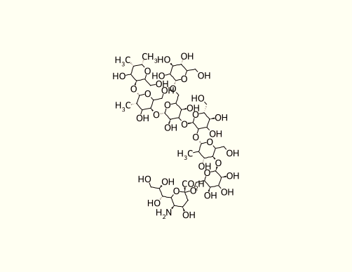 CC1[C@H](OC2C(O)[C@H](O)[C@@H](CO)O[C@@H]2OC2[C@H](O)C(CO[C@H]3OC(CO)[C@@H](O)[C@H](O)C3O)O[C@@H](O[C@@H]3C(CO)O[C@@H](O[C@@H]4C(CO)O[C@@H](C)[C@@H](C)C4O)[C@@H](C)C3O)[C@@H]2O)OC(CO)[C@@H](O[C@@H]2OC(CO[C@]3(C(=O)O)C[C@@H](O)[C@@H](N)C([C@H](O)[C@H](O)CO)O3)[C@H](O)C(O)[C@@H]2O)[C@@H]1O